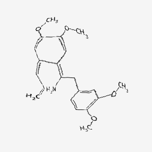 C=C/C=c1/cc(OC)c(OC)c/c1=C(/N)Cc1ccc(OC)c(OC)c1